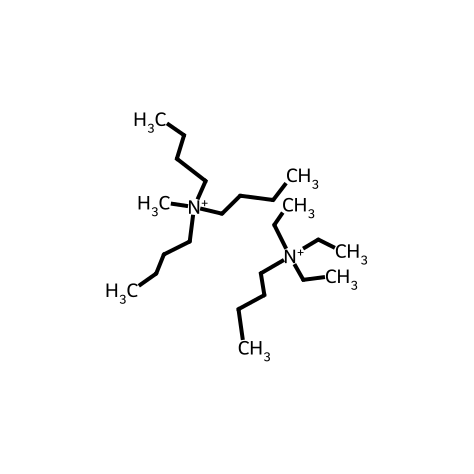 CCCC[N+](C)(CCCC)CCCC.CCCC[N+](CC)(CC)CC